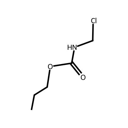 CCCOC(=O)NCCl